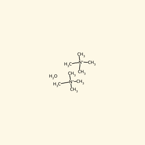 C[N+](C)(C)C.C[N+](C)(C)C.O